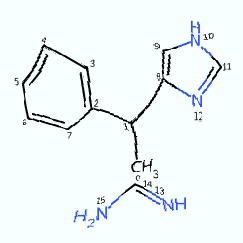 CC(c1ccccc1)c1c[nH]cn1.N=CN